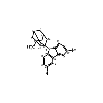 CC12CC3CC(C1)CC(n1c4ccc(I)cc4c4cc(I)ccc41)(C3)C2